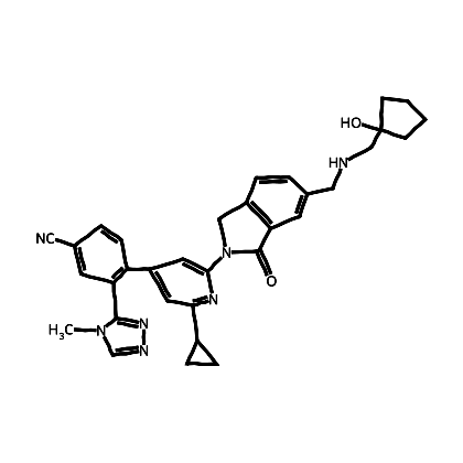 Cn1cnnc1-c1cc(C#N)ccc1-c1cc(C2CC2)nc(N2Cc3ccc(CNCC4(O)CCCC4)cc3C2=O)c1